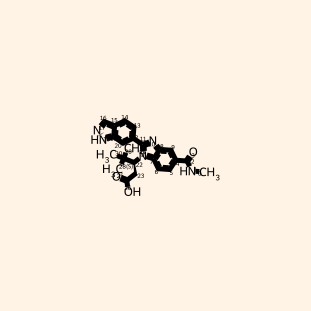 CNC(=O)c1ccc2c(c1)nc(-c1ccc3cn[nH]c3c1)n2[C@@H](CC(=O)O)C(C)(C)C